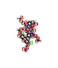 CC(=O)OCOC(=O)CN(CC(=O)OCOC(C)=O)c1ccc(C)cc1OCCOc1cc(-c2c3cc(Cl)c(=O)cc-3oc3cc(OCOC(C)=O)c(Cl)cc23)c(C)cc1N(CC(=O)OCOC(C)=O)CC(=O)OCOC(C)=O